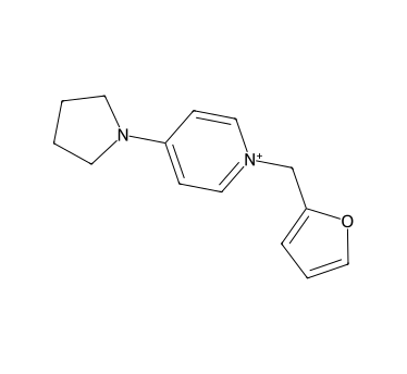 c1coc(C[n+]2ccc(N3CCCC3)cc2)c1